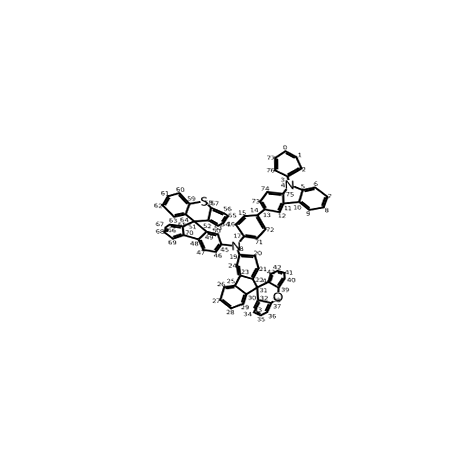 c1ccc(-n2c3ccccc3c3cc(-c4ccc(N(c5ccc6c(c5)-c5ccccc5C65c6ccccc6Oc6ccccc65)c5ccc6c(c5)C5(c7ccccc7Sc7ccccc75)c5ccccc5-6)cc4)ccc32)cc1